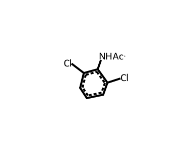 CC(=O)[N]c1c(Cl)cccc1Cl